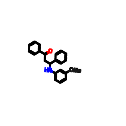 COc1cccc(NC(CC(=O)c2ccccc2)c2ccccc2)c1